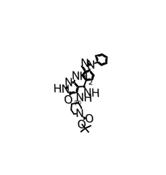 CC(C)(C)OC(=O)N1CCC[C@@H](Nc2c(C(=N)c3ccc4c(cnn4-c4ccccc4)c3)c(N)n[nH]c2=O)C1